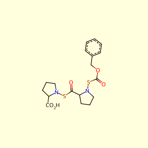 O=C(OCc1ccccc1)SN1CCCC1C(=O)SN1CCCC1C(=O)O